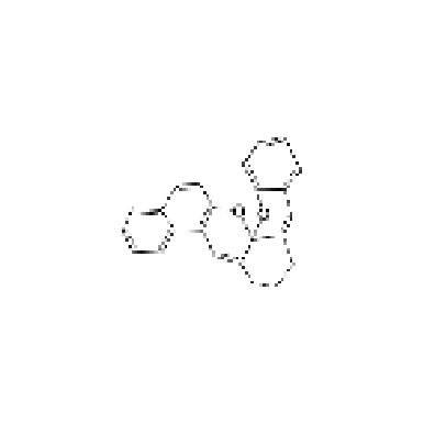 C1=C2CCCC3=Cc4c(ccc5ccccc45)OC23Oc2ccccc21